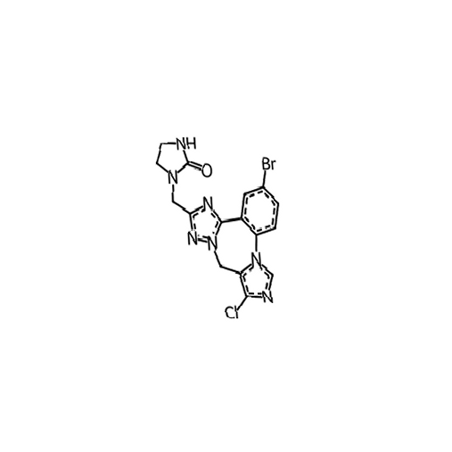 O=C1NCCN1Cc1nc2n(n1)Cc1c(Cl)ncn1-c1ccc(Br)cc1-2